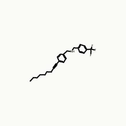 CCCCCCCC#Cc1ccc(CNCc2ccc(C(F)(F)F)cc2)cc1